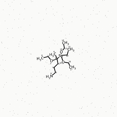 CCOC(C)(CCCN)[Si](CC)(OCC)OCC